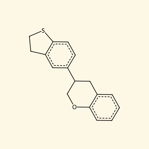 c1ccc2c(c1)CC(c1ccc3c(c1)CCS3)CO2